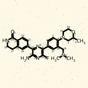 CC1CN(c2ccc(-c3nc(-c4ccc5c(c4)CCNC5=O)c(N)nc3F)cc2CN(C)C)CCO1